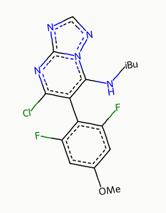 CCC(C)Nc1c(-c2c(F)cc(OC)cc2F)c(Cl)nc2ncnn12